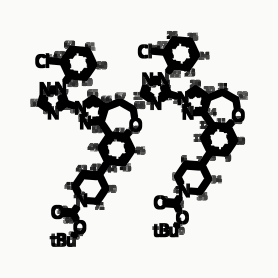 CC(C)(C)OC(=O)N1CC=C(c2ccc3c(c2)-c2nn(-c4ncnn4-c4ccccc4Cl)cc2CCO3)CC1.CC(C)(C)OC(=O)N1CC=C(c2ccc3c(c2)-c2nn(-c4ncnn4-c4ccccc4Cl)cc2CCO3)CC1